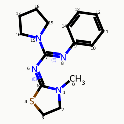 CN1CCS/C1=N/C(=N/c1ccccc1)N1CCCC1